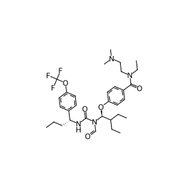 CCC[C@@H](NC(=O)N(C=O)[C@@H](Oc1ccc(C(=O)N(CC)CCN(C)C)cc1)C(CC)CC)c1ccc(OC(F)(F)F)cc1